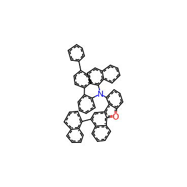 c1ccc(-c2ccc(-c3ccccc3N(c3cccc4ccccc34)c3cccc4oc5c6ccccc6c(-c6cccc7ccccc67)cc5c34)cc2)cc1